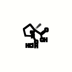 C[C@@]1(C(=O)O)CCCN1O.Cl